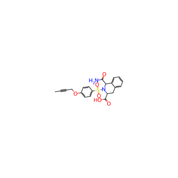 CC#CCOc1ccc(S(=O)(=O)N2C(C(=O)O)Cc3ccccc3C2C(N)=O)cc1